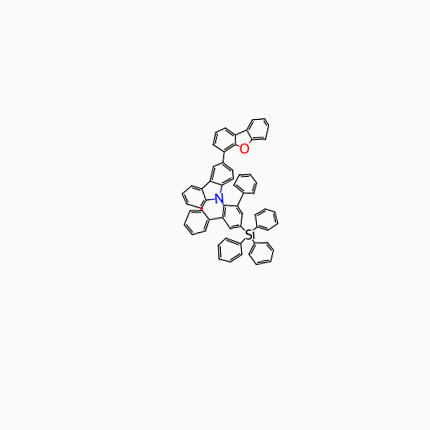 c1ccc(-c2cc([Si](c3ccccc3)(c3ccccc3)c3ccccc3)cc(-c3ccccc3)c2-n2c3ccccc3c3cc(-c4cccc5c4oc4ccccc45)ccc32)cc1